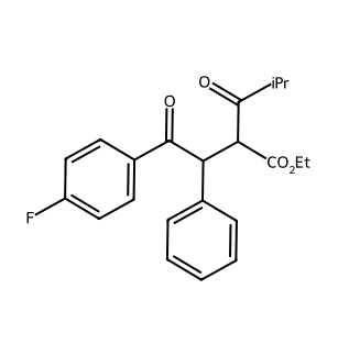 CCOC(=O)C(C(=O)C(C)C)C(C(=O)c1ccc(F)cc1)c1ccccc1